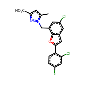 Cc1cc(C(=O)O)nn1Cc1cc(Cl)cc2cc(-c3ccc(F)cc3Cl)oc12